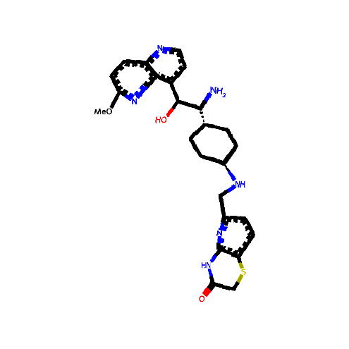 COc1ccc2nccc(C(O)C(N)[C@H]3CC[C@H](NCc4ccc5c(n4)NC(=O)CS5)CC3)c2n1